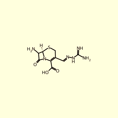 N=C(N)N/N=C/C1=C(C(=O)O)N2C(=O)C(N)[C@H]2SC1